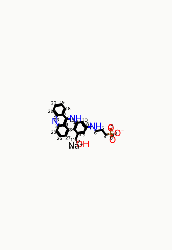 O=S(=O)([O-])CCCNc1cc(CO)cc(Nc2c3ccccc3nc3ccccc23)c1.[Na+]